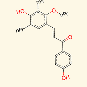 CCCOc1c(/C=C/C(=O)c2ccc(O)cc2)cc(CCC)c(O)c1CCC